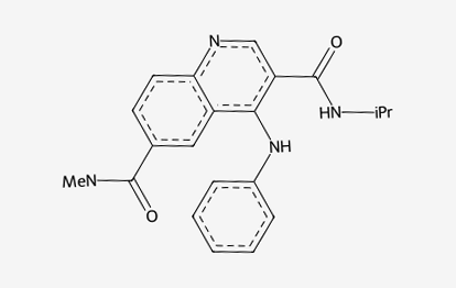 CNC(=O)c1ccc2ncc(C(=O)NC(C)C)c(Nc3ccccc3)c2c1